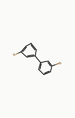 Brc1cc[c]c(-c2cccc(Br)c2)c1